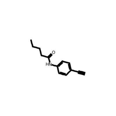 C#Cc1ccc(NC(=O)CCCC)cc1